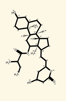 CCC(C)C(=O)OC1C[C@@H]2[C@@H](CCC3CC(O)CC[C@@]32C)[C@@H]2CCC(CCC3CC(O)CC(=O)O3)[C@@]12C